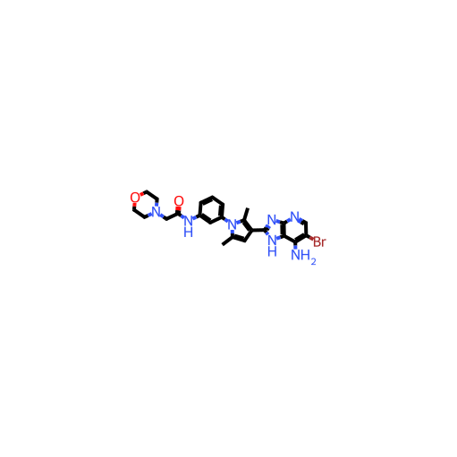 Cc1cc(-c2nc3ncc(Br)c(N)c3[nH]2)c(C)n1-c1cccc(NC(=O)CN2CCOCC2)c1